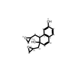 Oc1ccc2c(c1)C(CC1CO1)C(O)(CC1CO1)C=C2